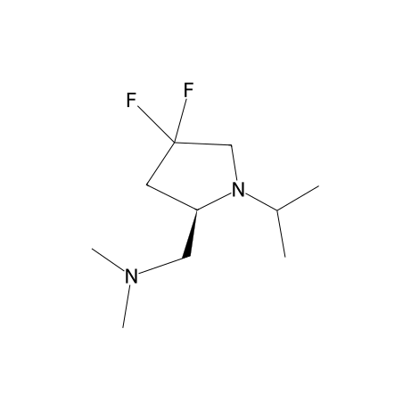 CC(C)N1CC(F)(F)C[C@@H]1CN(C)C